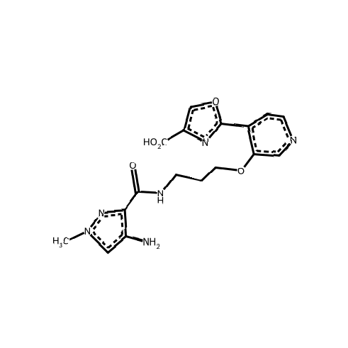 Cn1cc(N)c(C(=O)NCCCOc2cnccc2-c2nc(C(=O)O)co2)n1